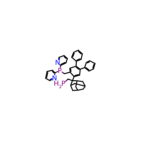 PCC1(c2cc(-c3ccccc3)c(-c3ccccc3)cc2CP(c2ccccn2)c2ccccn2)C2CC3CC(C2)CC1C3